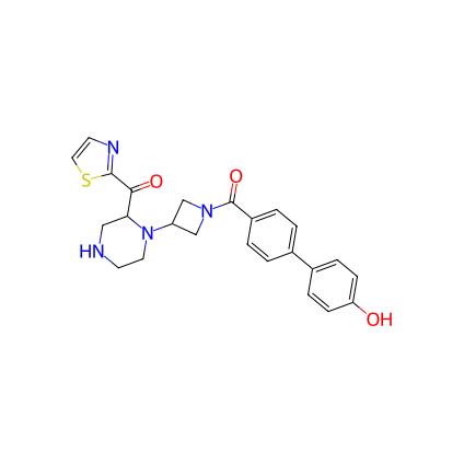 O=C(c1nccs1)C1CNCCN1C1CN(C(=O)c2ccc(-c3ccc(O)cc3)cc2)C1